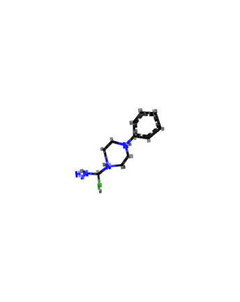 NC(F)N1CCN(c2ccccc2)CC1